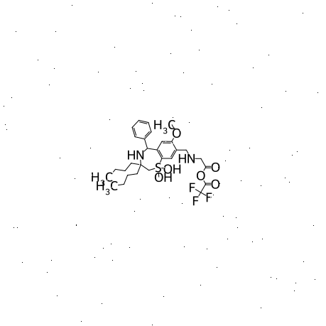 CCCCC1(CCCC)CS(O)(O)c2cc(CNCC(=O)OC(=O)C(F)(F)F)c(OC)cc2C(c2ccccc2)N1